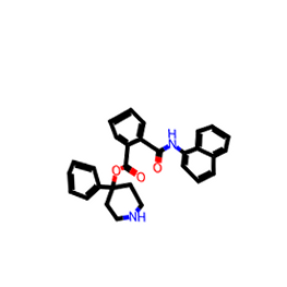 O=C(Nc1cccc2ccccc12)c1ccccc1C(=O)OC1(c2ccccc2)CCNCC1